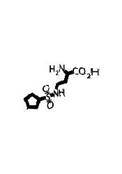 NC(CCNS(=O)(=O)C1CCCC1)C(=O)O